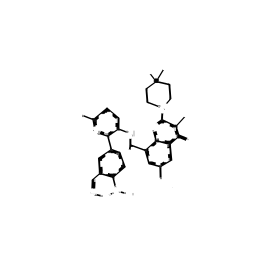 Cc1c(N2CCC(C)(C)CC2)oc2c(C(C)Nc3ccc(Cl)nc3-c3ccc4c(c3)C=NOB4O)cc(C(F)(F)F)cc2c1=O